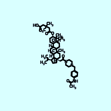 C=C(C)[C@@H]1CC[C@]2(CC(=O)N3CCN(Cc4ccc(NC(C)=O)cc4)CC3)CC[C@]3(C)[C@H](CC[C@@H]4[C@@]5(C)CC[C@H](OC(=O)CC(C)(C)CC(=O)O)C(C)(C)[C@@H]5CC[C@]43C)[C@@H]12